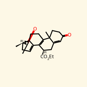 CCOC(=O)[C@@H]1CC2=CC(=O)CCC2(C)C2=C1C1=CC[C@@]3(C)CCC(=O)C13CC2